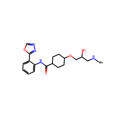 CC(C)(C)NCC(O)COC1CCC(C(=O)Nc2ccccc2-c2nnco2)CC1